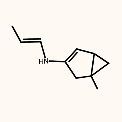 C/C=C/NC1=CC2CC2(C)C1